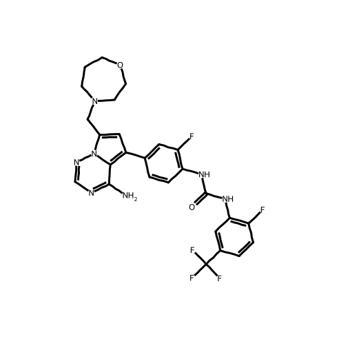 Nc1ncnn2c(CN3CCCOCC3)cc(-c3ccc(NC(=O)Nc4cc(C(F)(F)F)ccc4F)c(F)c3)c12